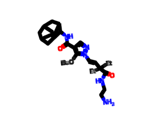 CCC(/C=C/n1ncc(C(=O)NC2C3CC4CC(C3)CC2C4)c1OCC(C)C)(CC)C(=O)NCCN